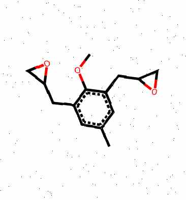 COc1c(CC2CO2)cc(C)cc1CC1CO1